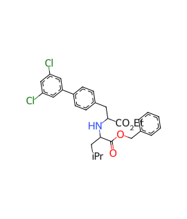 CCOC(=O)C(Cc1ccc(-c2cc(Cl)cc(Cl)c2)cc1)NC(CC(C)C)C(=O)OCc1ccccc1